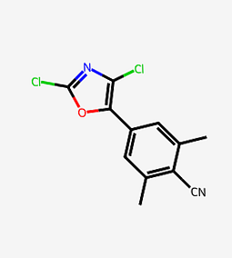 Cc1cc(-c2oc(Cl)nc2Cl)cc(C)c1C#N